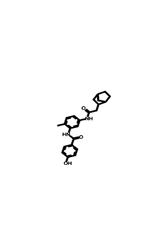 Cc1ccc(NC(=O)CC2CC3CCC2C3)cc1NC(=O)c1ccc(O)cc1